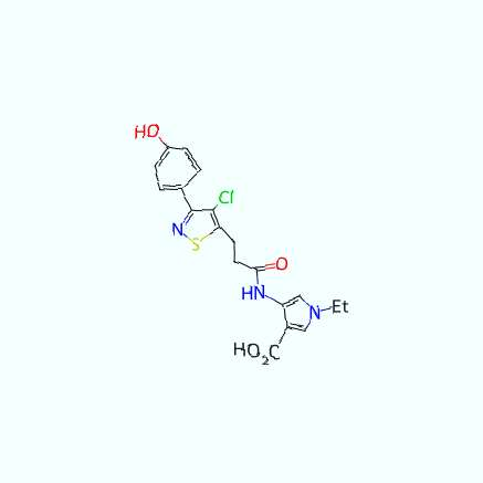 CCn1cc(NC(=O)CCc2snc(-c3ccc(O)cc3)c2Cl)c(C(=O)O)c1